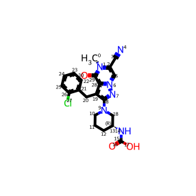 Cn1c(C#N)cn2nc(N3CCC[C@@H](NC(=O)O)C3)c(Cc3ccccc3Cl)c2c1=O